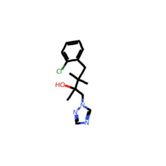 CC(C)(Cc1ccccc1Cl)C(C)(O)Cn1cncn1